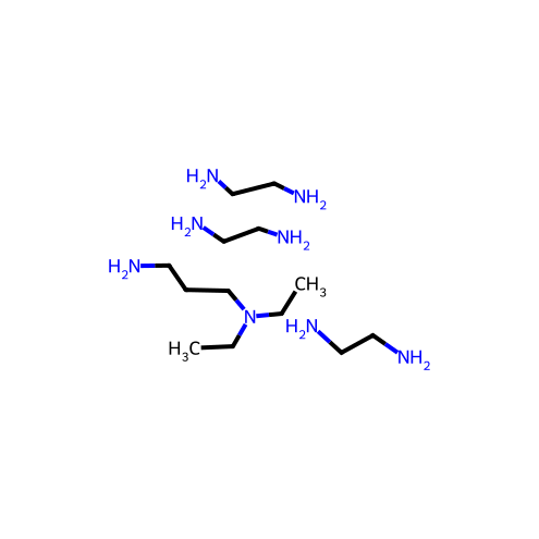 CCN(CC)CCCN.NCCN.NCCN.NCCN